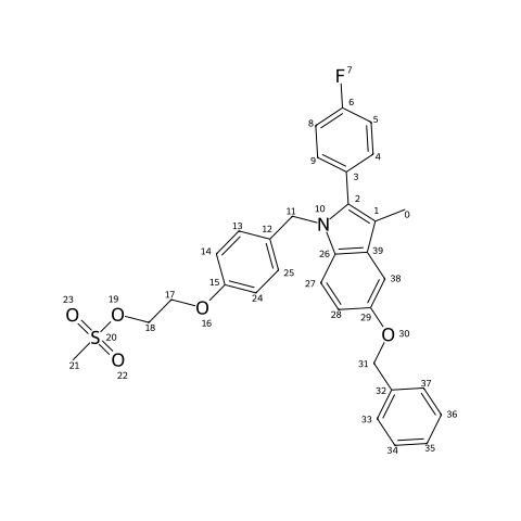 Cc1c(-c2ccc(F)cc2)n(Cc2ccc(OCCOS(C)(=O)=O)cc2)c2ccc(OCc3ccccc3)cc12